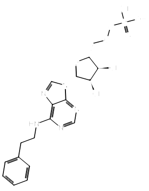 CP(=O)(O)OOC[C@H]1O[C@@H](n2cnc3c(NCCc4ccccc4)ncnc32)[C@H](O)[C@@H]1O